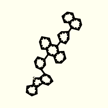 c1cc(-c2c3ccccc3c(-c3ccc(-c4cccc5ccccc45)cc3)c3ccccc23)cc(-c2cccc3c2sc2ccccc23)c1